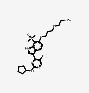 CNCCOCCCOc1ccc2c(-c3nc(NC4CCCC4)ncc3C(F)(F)F)c[nH]c2c1P(C)(C)=O